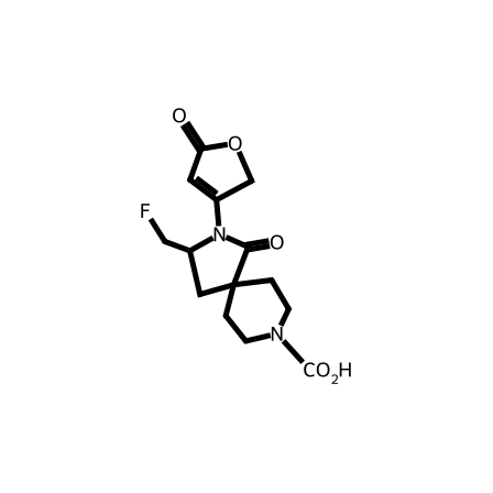 O=C1C=C(N2C(=O)C3(CCN(C(=O)O)CC3)CC2CF)CO1